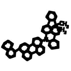 CC1(C)c2ccccc2-c2ccc(N(c3ccc(-c4ccc(-c5cccc6ccccc56)c5cccc(-c6ccccc6)c45)cc3)c3ccccc3-c3ccccc3)cc21